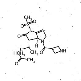 CC(=O)O.CC(C)[C@@H]1C(=O)N(S(C)(=O)=O)C2=CCN(C(=O)C3CNC3)[C@H]21